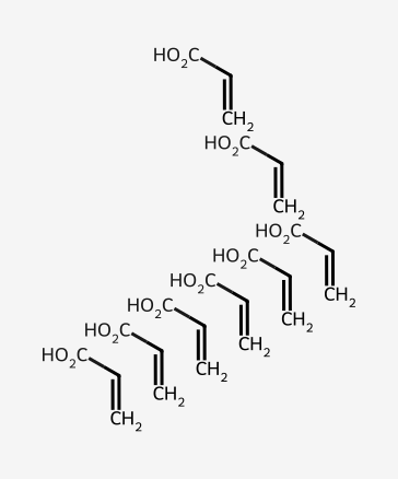 C=CC(=O)O.C=CC(=O)O.C=CC(=O)O.C=CC(=O)O.C=CC(=O)O.C=CC(=O)O.C=CC(=O)O.C=CC(=O)O